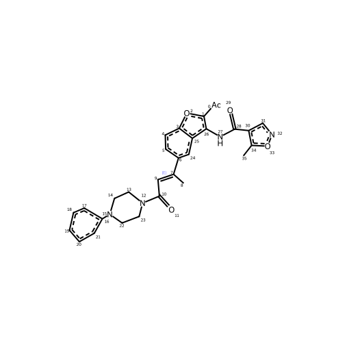 CC(=O)c1oc2ccc(/C(C)=C/C(=O)N3CCN(c4ccccc4)CC3)cc2c1NC(=O)c1cnoc1C